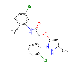 Cc1ccc(Br)cc1NC(=O)COC1=CC(C(F)(F)F)NN1c1ccccc1Cl